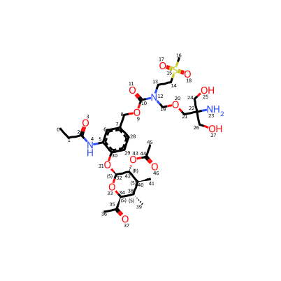 CCC(=O)Nc1cc(COC(=O)N(CCS(C)(=O)=O)COCC(N)(CO)CO)ccc1O[C@@H]1O[C@H](C(C)=O)[C@@H](C)[C@H](C)[C@H]1OC(C)=O